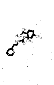 CC1=CC(C)(OC(=O)NCCc2ccccn2)C(C(C)C)C=C1